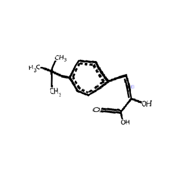 CC(C)(C)c1ccc(/C=C(/O)C(=O)O)cc1